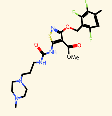 COC(=O)c1c(OCc2c(F)cc(C)c(F)c2F)nsc1NC(=O)NCCCN1CCN(C)CC1